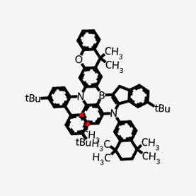 Cc1cc2c3c(c1)N(c1ccc(C(C)(C)C)cc1-c1ccc(C(C)(C)C)cc1)c1cc4c(cc1B3C1=C(c3cc(C(C)(C)C)ccc3C1)N2c1ccc2c(c1)C(C)(C)CCC2(C)C)C(C)(C)c1ccccc1O4